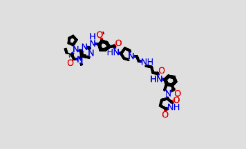 CC[C@@H]1C(=O)N(C)c2cnc(Nc3ccc(C(=O)NC4CCN(CCNCCCC(=O)Nc5cccc6c5CN(C5CCC(=O)NC5=O)C6=O)CC4)cc3OC)nc2N1C1CCCC1